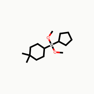 CO[Si](OC)(C1CCCC1)C1CCC(C)(C)CC1